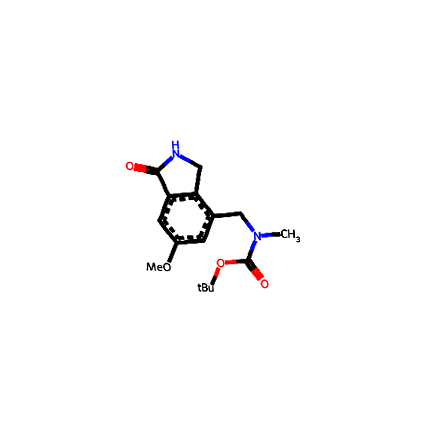 COc1cc(CN(C)C(=O)OC(C)(C)C)c2c(c1)C(=O)NC2